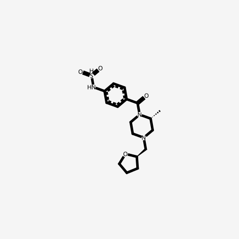 C[C@@H]1CN(C[C@H]2CCCO2)CCN1C(=O)c1ccc(N[SH](=O)=O)cc1